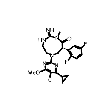 COc1nc(N2CCNC(=N)N(C)C(=O)[C@@H](c3cc(F)ccc3F)C2)nc(C2CC2)c1Cl